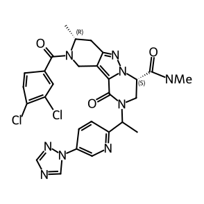 CNC(=O)[C@@H]1CN(C(C)c2ccc(-n3cncn3)cn2)C(=O)c2c3c(nn21)C[C@@H](C)N(C(=O)c1ccc(Cl)c(Cl)c1)C3